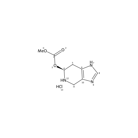 COC(=O)O[C@H]1Cc2[nH]cnc2CN1.Cl